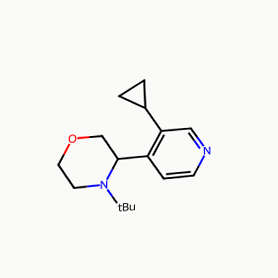 CC(C)(C)N1CCOCC1c1ccncc1C1CC1